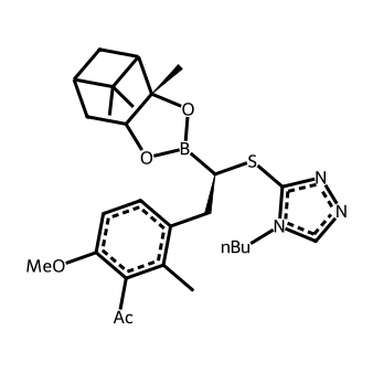 CCCCn1cnnc1S[C@@H](Cc1ccc(OC)c(C(C)=O)c1C)B1OC2CC3CC(C3(C)C)[C@]2(C)O1